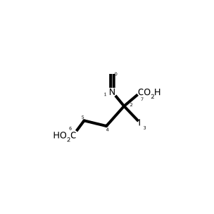 C=NC(I)(CCC(=O)O)C(=O)O